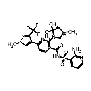 C[C@@H]1CN(c2nc(-c3cn(C)nc3C(F)(F)F)ccc2C(=O)NS(=O)(=O)c2cccnc2N)C(C)(C)C1